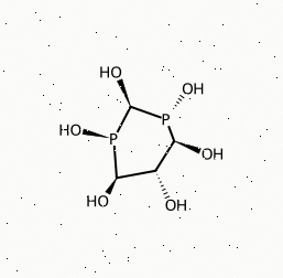 O[C@@H]1[C@@H](O)[P@@](O)[C@@H](O)[P@](O)[C@H]1O